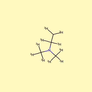 [2H]C([2H])C([2H])([2H])N(C([2H])([2H])[2H])C([2H])([2H])[2H]